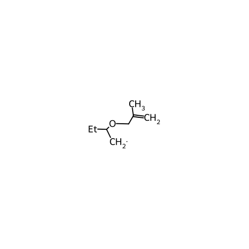 [CH2]C(CC)OCC(=C)C